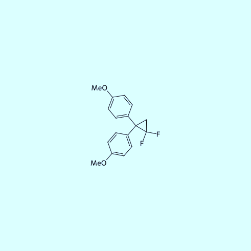 COc1ccc(C2(c3ccc(OC)cc3)CC2(F)F)cc1